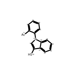 CC(=O)c1ccccc1-n1cc(S)c2ccccc21